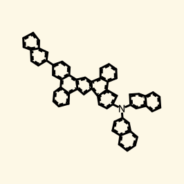 c1ccc2cc(-c3ccc4c(c3)c3ccccc3c3cc5c6ccc(N(c7ccc8ccccc8c7)c7ccc8ccccc8c7)cc6c6ccccc6c5cc43)ccc2c1